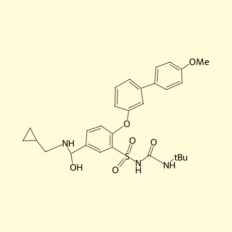 COc1ccc(-c2cccc(Oc3ccc(C(O)NCC4CC4)cc3S(=O)(=O)NC(=O)NC(C)(C)C)c2)cc1